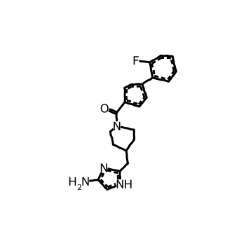 Nc1c[nH]c(CC2CCN(C(=O)c3ccc(-c4ccccc4F)cc3)CC2)n1